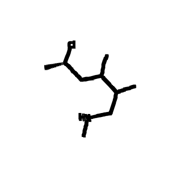 CNCC(C)C(C)C[C@H](C)Cl